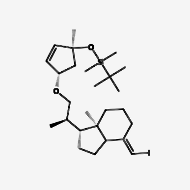 C[C@@H](CO[C@@H]1C=C[C@@](C)(O[Si](C)(C)C(C)(C)C)C1)[C@H]1CCC2/C(=C/I)CCC[C@@]21C